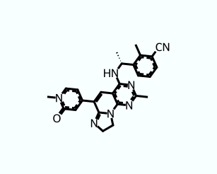 Cc1nc(N[C@H](C)c2cccc(C#N)c2C)c2c(n1)N1CCN=C1C(c1ccn(C)c(=O)c1)=C2